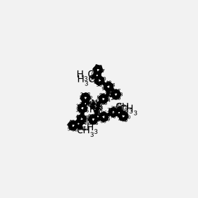 CC1(C)c2ccccc2-c2cc(-c3ccc4c5ccccc5n(-c5ccc(-c6nc(-n7c8ccccc8c8ccc(-c9ccc%10c(c9)-c9ccccc9C%10(C)C)cc87)nc(-n7c8ccccc8c8ccc(-c9ccc%10c(c9)-c9ccccc9C%10(C)C)cc87)n6)cc5)c4c3)ccc21